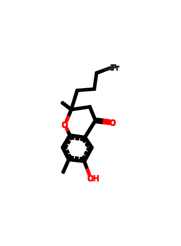 Cc1cc2c(cc1O)C(=O)CC(C)(CCCC(C)C)O2